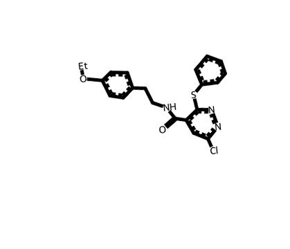 CCOc1ccc(CCNC(=O)c2cc(Cl)nnc2Sc2ccccc2)cc1